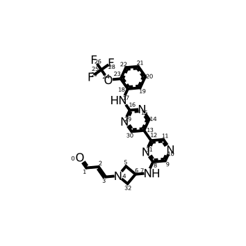 O=CC=CN1CC(Nc2cncc(-c3cnc(Nc4ccccc4OC(F)(F)F)nc3)n2)C1